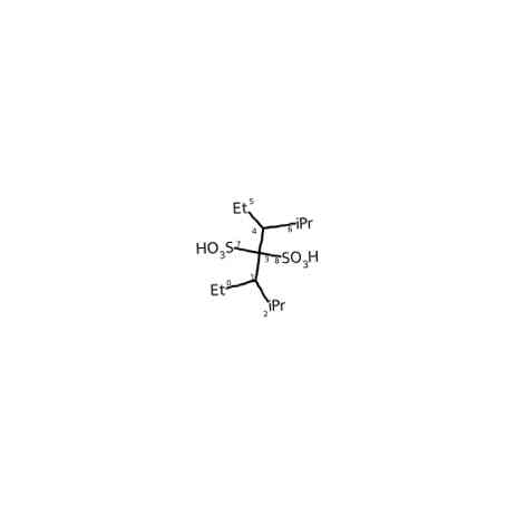 CCC(C(C)C)C(C(CC)C(C)C)(S(=O)(=O)O)S(=O)(=O)O